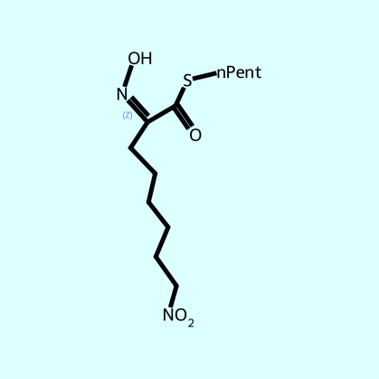 CCCCCSC(=O)/C(CCCCCC[N+](=O)[O-])=N\O